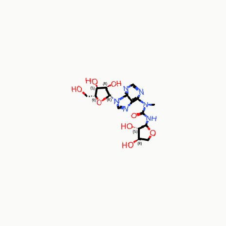 CN(C(=O)NC1OC[C@@H](O)[C@@H]1O)c1ncnc2c1ncn2[C@@H]1O[C@H](CO)[C@@H](O)[C@H]1O